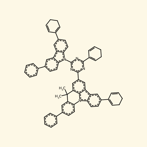 CC1(C)c2cc(-c3ccccc3)ccc2-n2c3ccc(C4=CCCC=C4)cc3c3cc(-c4nc(C5=CCCC=C5)nc(-n5c6ccc(C7=CCCC=C7)cc6c6cc(-c7ccccc7)ccc65)n4)cc1c32